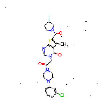 Cc1c(C(=O)N2CCC(F)C2)sc2ncn(CC(=O)N3CCN(c4cccc(Cl)c4)CC3)c(=O)c12